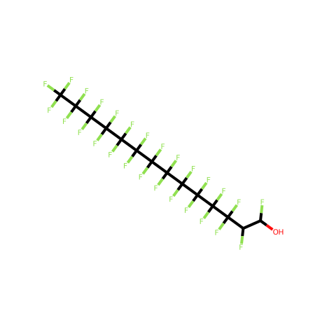 OC(F)C(F)C(F)(F)C(F)(F)C(F)(F)C(F)(F)C(F)(F)C(F)(F)C(F)(F)C(F)(F)C(F)(F)C(F)(F)C(F)(F)C(F)(F)F